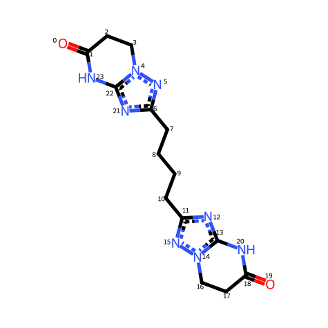 O=C1CCn2nc(CCCCc3nc4n(n3)CCC(=O)N4)nc2N1